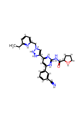 CCc1cccc(Cn2cc(-c3cc(-c4cccc(C#N)c4)nc(NC(=O)C4CCCO4)n3)nn2)n1